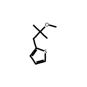 COC(C)(C)Cc1cccs1